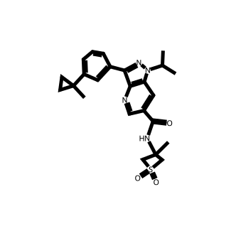 CC(C)n1nc(-c2cccc(C3(C)CC3)c2)c2ncc(C(=O)NC3(C)CS(=O)(=O)C3)cc21